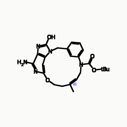 C/C1=C/CN(C(=O)OC(C)(C)C)c2cccc(c2)Cn2c(O)nc3c(N)nc(cc32)OCC1